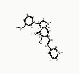 COc1cccc(-c2csc3cc(/C=C/c4cccnc4)c(Cl)c(=N)n23)c1